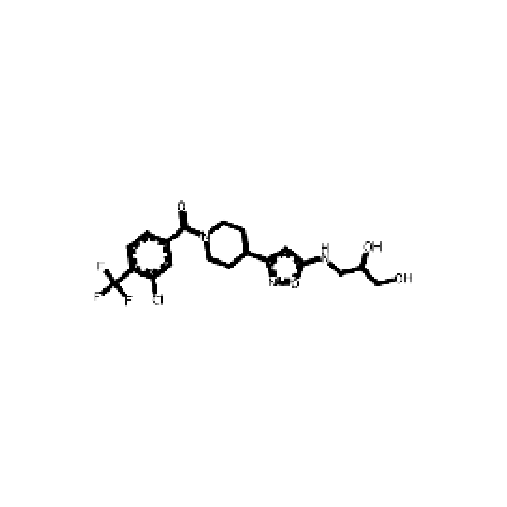 O=C(c1ccc(C(F)(F)F)c(Cl)c1)N1CCC(c2cc(NCC(O)CO)on2)CC1